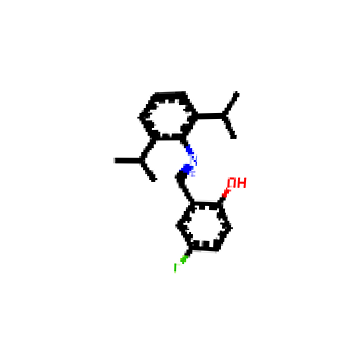 CC(C)c1cccc(C(C)C)c1/N=C/c1cc(F)ccc1O